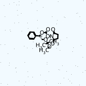 COC(C)(C)OC[C@@H](OC(=O)ON1C(=O)CCC1=O)c1ccccc1